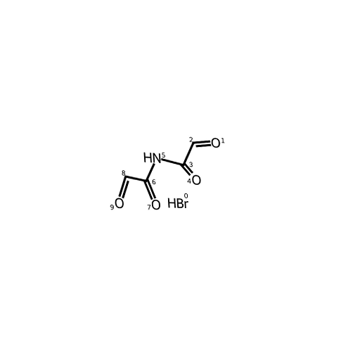 Br.O=CC(=O)NC(=O)C=O